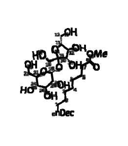 CCCCCCCCCCCCCCCCCC(=O)OC.OC[C@H]1O[C@@](CO)(O[C@H]2O[C@H](CO)[C@@H](O)[C@H](O)[C@H]2O)[C@@H](O)[C@@H]1O